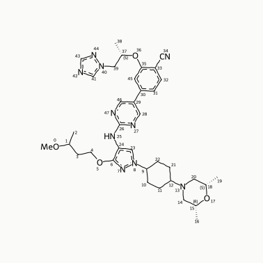 COC(C)CCOc1nn(C2CCC(N3C[C@@H](C)O[C@@H](C)C3)CC2)cc1Nc1ncc(-c2ccc(C#N)c(O[C@@H](C)Cn3cncn3)c2)cn1